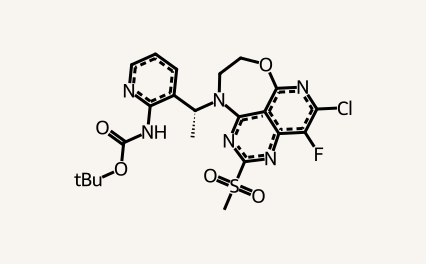 C[C@H](c1cccnc1NC(=O)OC(C)(C)C)N1CCOc2nc(Cl)c(F)c3nc(S(C)(=O)=O)nc1c23